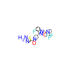 Nc1ncc(C(=O)N2CCC(c3nn(CC(=O)N4CCC[C@H]4C(F)(F)F)c4cccc(F)c34)CC2)s1